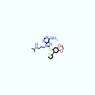 CC(C)NCCCn1c(Sc2cc3c(cc2-c2cccs2)OCCO3)nc2c(N)ncnc21